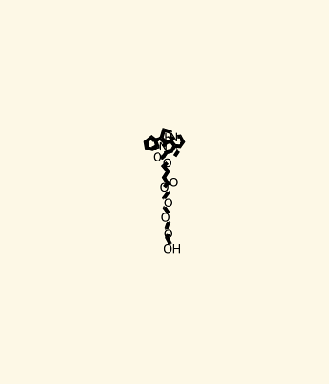 CC[C@@]12C=C(C(=O)OCCCC(=O)OCCOCCOCCOCCO)n3c4c(c5ccccc53)CCN(CCC1)[C@H]42